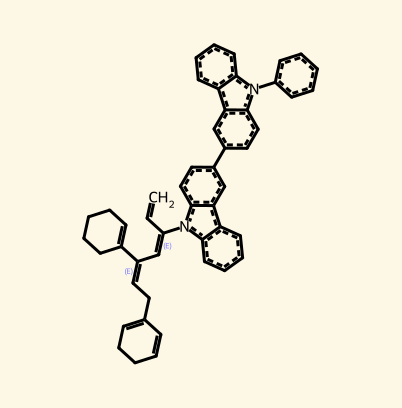 C=C/C(=C\C(=C/CC1=CCCC=C1)C1=CCCCC1)n1c2ccccc2c2cc(-c3ccc4c(c3)c3ccccc3n4-c3ccccc3)ccc21